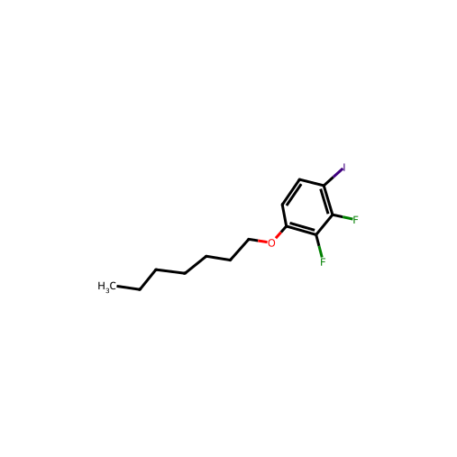 CCCCCCCOc1ccc(I)c(F)c1F